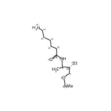 CC[C@H](CONC)C(C)NC(=O)CCCCCN